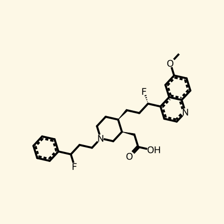 COc1ccc2nccc([C@@H](F)CC[C@@H]3CCN(CCC(F)c4ccccc4)C[C@@H]3CC(=O)O)c2c1